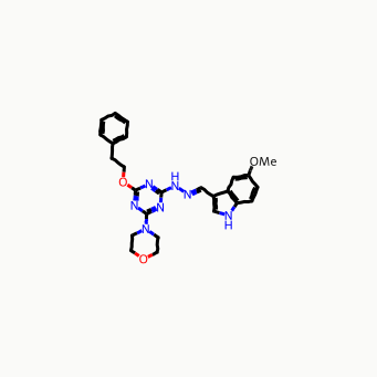 COc1ccc2[nH]cc(C=NNc3nc(OCCc4ccccc4)nc(N4CCOCC4)n3)c2c1